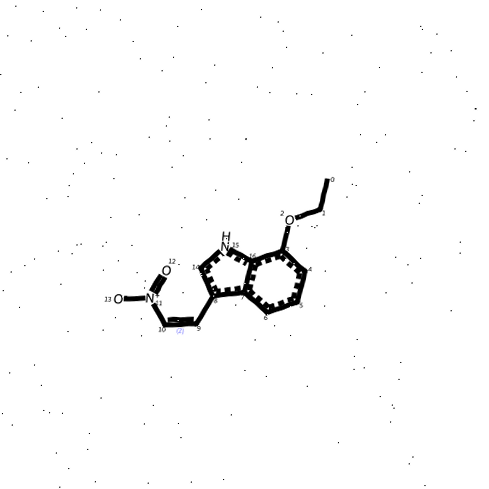 CCOc1cccc2c(/C=C\[N+](=O)[O-])c[nH]c12